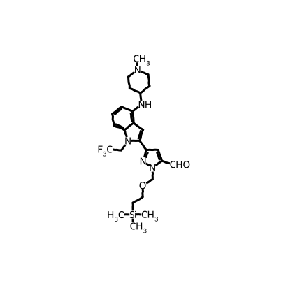 CN1CCC(Nc2cccc3c2cc(-c2cc(C=O)n(COCC[Si](C)(C)C)n2)n3CC(F)(F)F)CC1